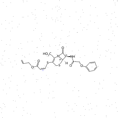 C=CCOC(=O)/C=C\SC1=C(C(=O)O)N2C(=O)[C@@H](NC(=O)COc3ccccc3)[C@H]2SC1